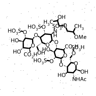 CC(=O)N[C@@H]1[C@@H](O)[C@H](O[C@@H]2O[C@H](C(=O)O)[C@@H](O[C@@H]3O[C@H](CO)[C@@H](O[C@H]4O[C@@H](C(=O)O)[C@H](O)[C@@H](O)[C@@H]4OS(=O)(=O)O)[C@H](OS(=O)(=O)O)[C@H]3NS(=O)(=O)O)[C@H](O)[C@H]2OS(=O)(=O)O)[C@H](COS(=O)(=O)O)O[C@H]1O.COC(C)COCC(C)O